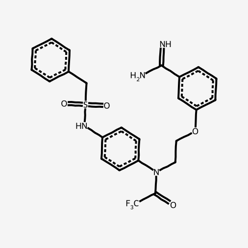 N=C(N)c1cccc(OCCN(C(=O)C(F)(F)F)c2ccc(NS(=O)(=O)Cc3ccccc3)cc2)c1